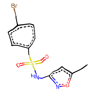 Cc1cc(NS(=O)(=O)c2ccc(Br)cc2)no1